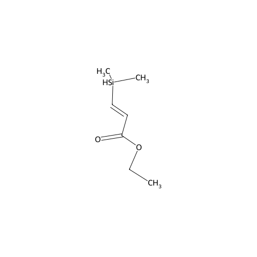 CCOC(=O)C=C[SiH](C)C